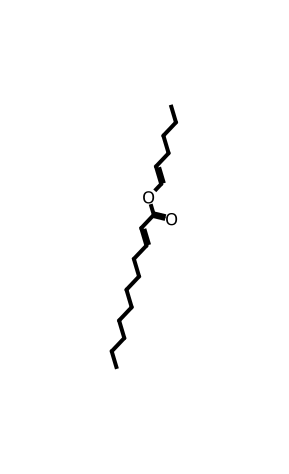 CCCCC=COC(=O)C=CCCCCCCCC